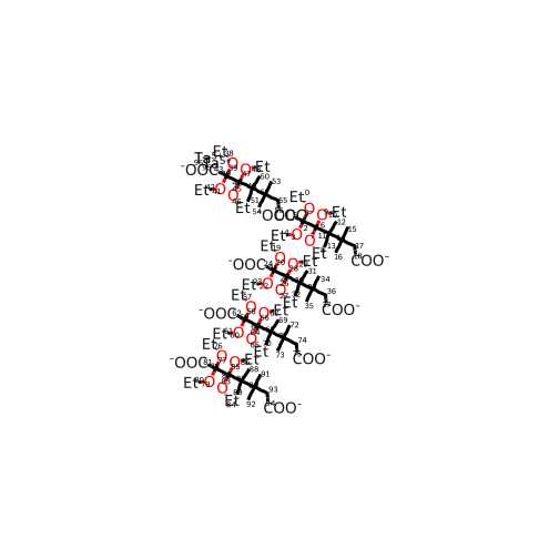 CCOC(OCC)(C(=O)[O-])C(OCC)(OCC)C(C)(C)C(C)(C)CC(=O)[O-].CCOC(OCC)(C(=O)[O-])C(OCC)(OCC)C(C)(C)C(C)(C)CC(=O)[O-].CCOC(OCC)(C(=O)[O-])C(OCC)(OCC)C(C)(C)C(C)(C)CC(=O)[O-].CCOC(OCC)(C(=O)[O-])C(OCC)(OCC)C(C)(C)C(C)(C)CC(=O)[O-].CCOC(OCC)(C(=O)[O-])C(OCC)(OCC)C(C)(C)C(C)(C)CC(=O)[O-].[Ta+5].[Ta+5]